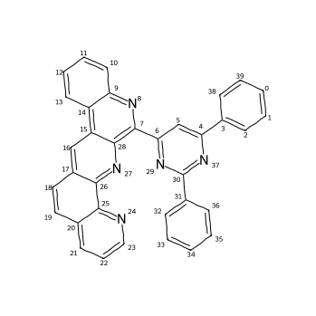 c1ccc(-c2cc(-c3nc4ccccc4c4cc5ccc6cccnc6c5nc34)nc(-c3ccccc3)n2)cc1